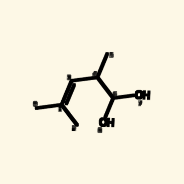 CC(C)=CC(C)C(O)O